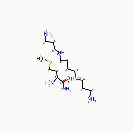 CSCC[C@H](N)C(N)=O.NCCCNCCCCNCCCN